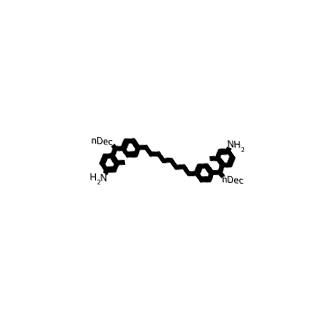 CCCCCCCCCCC(c1ccc(CCCCCCCCc2ccc(C(CCCCCCCCCC)c3ccc(N)cc3C)cc2)cc1)c1ccc(N)cc1C